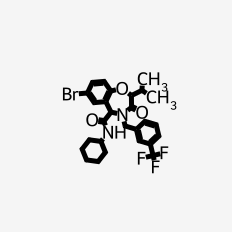 CC(C)C1Oc2ccc(Br)cc2C(C(=O)NC2CCCCC2)N(Cc2cccc(C(F)(F)F)c2)C1=O